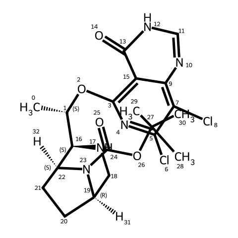 C[C@H](Oc1nc(Cl)c(Cl)c2nc[nH]c(=O)c12)[C@H]1NC[C@H]2CC[C@@H]1N2C(=O)OC(C)(C)C